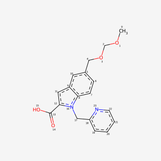 COCOCc1ccc2c(c1)cc(C(=O)O)n2Cc1ccccn1